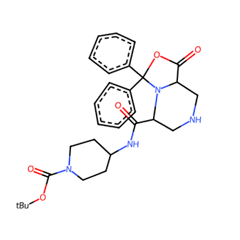 CC(C)(C)OC(=O)N1CCC(NC(=O)C2CNCC3C(=O)OC(c4ccccc4)(c4ccccc4)N23)CC1